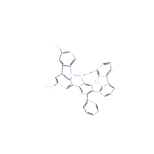 CC(C)(C)c1ccc2c(c1)c1cc(C(C)(C)C)cc3c1n2B1c2cccc4c5cccc6c7c(-c8ccccc8)cc-3c1c7n(c24)c56